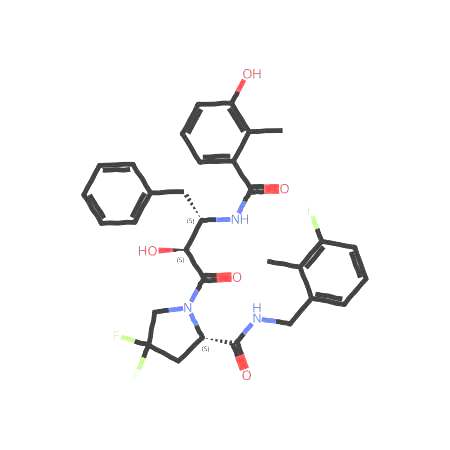 Cc1c(F)cccc1CNC(=O)[C@@H]1CC(F)(F)CN1C(=O)[C@@H](O)[C@H](Cc1ccccc1)NC(=O)c1cccc(O)c1C